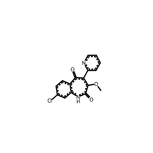 COc1c(-c2ccccn2)c(=O)c2ccc(Cl)cc2[nH]c1=O